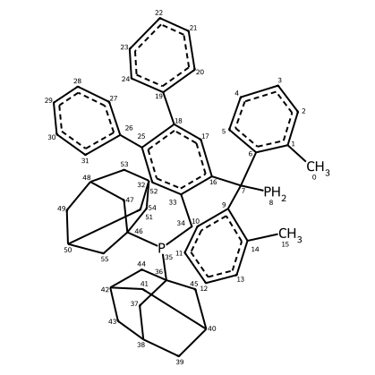 Cc1ccccc1C(P)(c1ccccc1C)c1cc(-c2ccccc2)c(-c2ccccc2)cc1CP(C12CC3CC(CC(C3)C1)C2)C12CC3CC(CC(C3)C1)C2